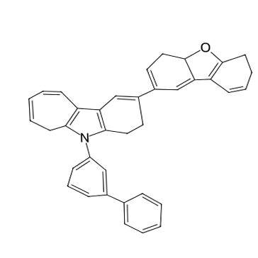 C1=CCc2c(c3c(n2-c2cccc(-c4ccccc4)c2)CCC(C2=CCC4OC5=C(C=CCC5)C4=C2)=C3)C=C1